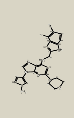 Cn1cc(-n2cnc3c(NCc4nc5c(F)c(F)ccc5[nH]4)nc(N4CCOCC4)nc32)cn1